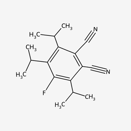 CC(C)c1c(F)c(C(C)C)c(C(C)C)c(C#N)c1C#N